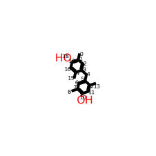 Cc1cc(Cc2cc(C)c(O)cc2C)c(C)cc1O